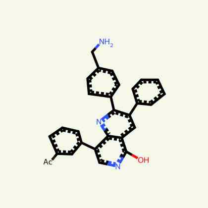 CC(=O)c1cccc(-c2cnc(O)c3cc(-c4ccccc4)c(-c4ccc(CN)cc4)nc23)c1